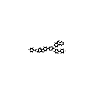 CC1(C)c2ccccc2-c2cc(N(c3ccc(-c4ccc5c(c4)oc4cc6nc(-c7ccccc7)oc6cc45)cc3)c3cccc(-c4ccccc4)c3)ccc21